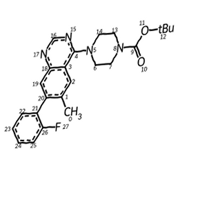 Cc1cc2c(N3CCN(C(=O)OC(C)(C)C)CC3)ncnc2cc1-c1ccccc1F